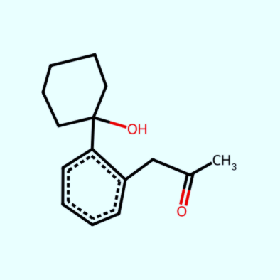 CC(=O)Cc1ccccc1C1(O)CCCCC1